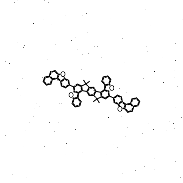 CC1(C)c2cc3c(cc2-c2c1cc(-c1ccc4c(c1)oc1ccc5ccccc5c14)c1oc4ccccc4c21)C(C)(C)c1cc(-c2ccc4c(c2)oc2ccc5ccccc5c24)c2oc4ccccc4c2c1-3